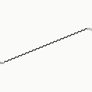 CCCCCCCCCCCCCCCCCCCCCCCCCCCCCCCCCCCCCCCCCCCCCCCCCCCCCCCCCC(=O)O